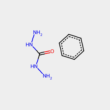 NNC(=O)NN.c1ccccc1